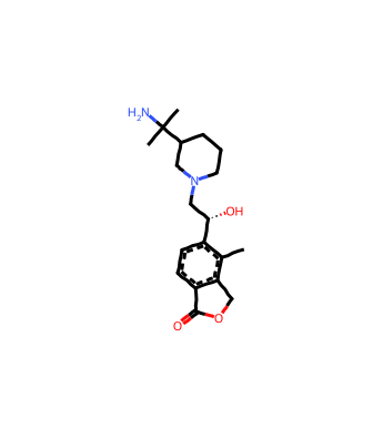 Cc1c([C@@H](O)CN2CCCC(C(C)(C)N)C2)ccc2c1COC2=O